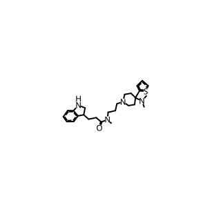 CN(CCCN1CCC(c2cccs2)(N(C)C)CC1)C(=O)CCC1CNc2ccccc21